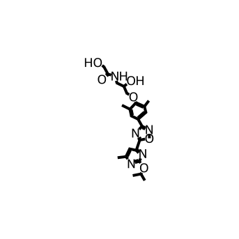 Cc1cc(-c2nc(-c3cc(C)c(OCC(O)CNC(=O)CO)c(C)c3)no2)nc(OC(C)C)n1